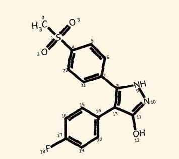 CS(=O)(=O)c1ccc(-c2[nH]nc(O)c2-c2ccc(F)cc2)cc1